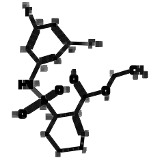 CCOC(=O)C1=CCCCC1S(=O)(=O)Nc1cc(F)cc(F)c1